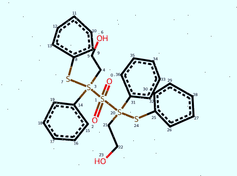 O=S(=O)(S(CCO)(Sc1ccccc1)c1ccccc1)S(CCO)(Sc1ccccc1)c1ccccc1